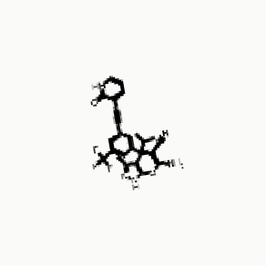 Cc1n[nH]c2c1C(c1cc(C#Cc3ccc[nH]c3=O)cc(C(F)(F)F)c1)(C(C)C)C(C#N)=C(N)O2